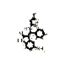 Cc1cc(N/C(=C2\C(=O)Nc3ccc(N)cc32)c2ccccc2)no1